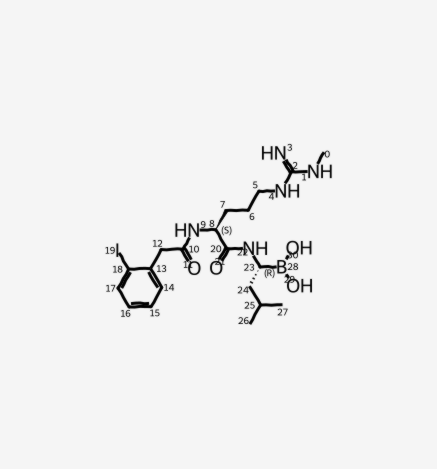 CNC(=N)NCCC[C@H](NC(=O)Cc1ccccc1I)C(=O)N[C@@H](CC(C)C)B(O)O